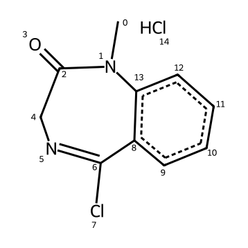 CN1C(=O)CN=C(Cl)c2ccccc21.Cl